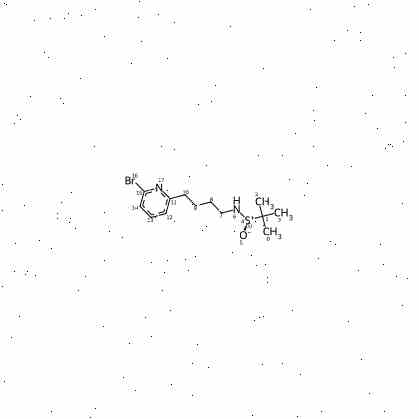 CC(C)(C)[S@@+]([O-])NCCCCc1cccc(Br)n1